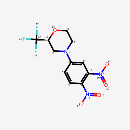 O=[N+]([O-])c1ccc(N2CCO[C@H](C(F)(F)F)C2)cc1[N+](=O)[O-]